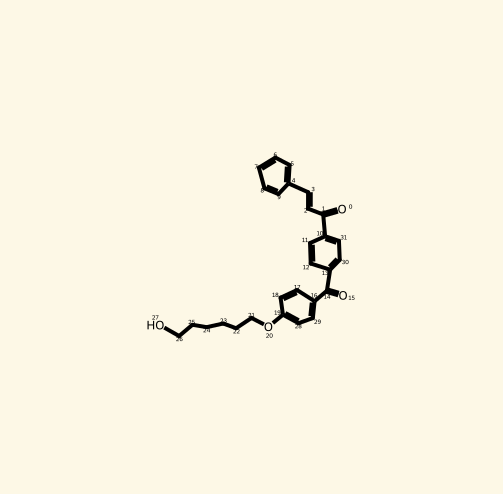 O=C(C=Cc1ccccc1)c1ccc(C(=O)c2ccc(OCCCCCCO)cc2)cc1